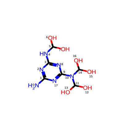 Nc1nc(NC(O)O)nc(N(C(O)O)C(O)O)n1